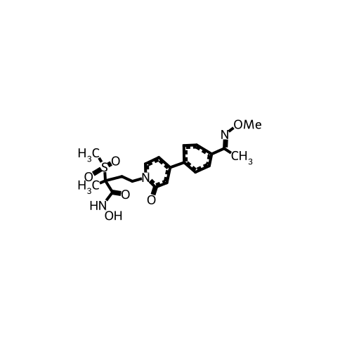 CON=C(C)c1ccc(-c2ccn(CCC(C)(C(=O)NO)S(C)(=O)=O)c(=O)c2)cc1